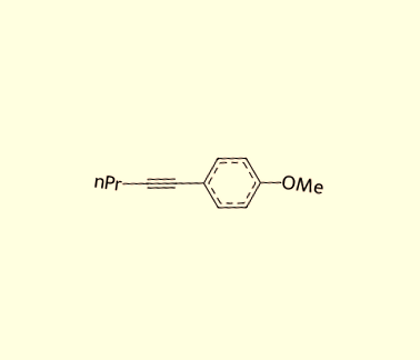 CCCC#Cc1ccc(OC)cc1